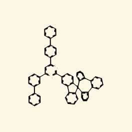 c1ccc(-c2ccc(-c3cc(-c4cccc(-c5ccccc5)c4)nc(-c4ccc5c(c4)-c4ccccc4C54c5ccccc5-c5ccccc5-c5ccccc54)n3)cc2)cc1